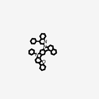 c1ccc(-c2cc(-n3c4cc5c(cc4c4c6ccccc6ccc43)c3c4oc6ccccc6c4ccc3n5-c3ccccc3)nc3ccccc23)cc1